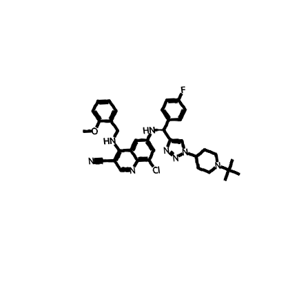 COc1ccccc1CNc1c(C#N)cnc2c(Cl)cc(N[C@@H](c3ccc(F)cc3)c3cn(C4CCN(C(C)(C)C)CC4)nn3)cc12